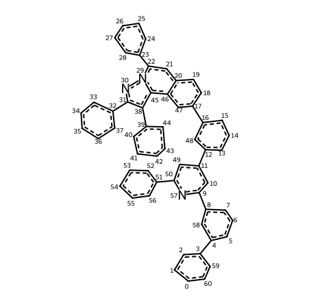 c1ccc(-c2cccc(-c3cc(-c4cccc(-c5ccc6cc(-c7ccccc7)n7nc(-c8ccccc8)c(-c8ccccc8)c7c6c5)c4)cc(-c4ccccc4)n3)c2)cc1